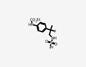 CCOC(=O)Nc1ccc(C(C)(F)CNS(=O)(=O)C(C)C)cc1